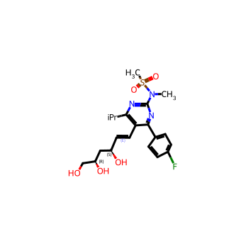 CC(C)c1nc(N(C)S(C)(=O)=O)nc(-c2ccc(F)cc2)c1/C=C/[C@@H](O)C[C@@H](O)CO